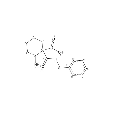 NC1CCCCC1(C(=O)O)C(=O)OCc1ccccc1